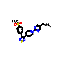 CCc1cnc(N2CC=C(c3nsnc3-c3ccc(S(C)(=O)=O)cc3)CC2)nc1